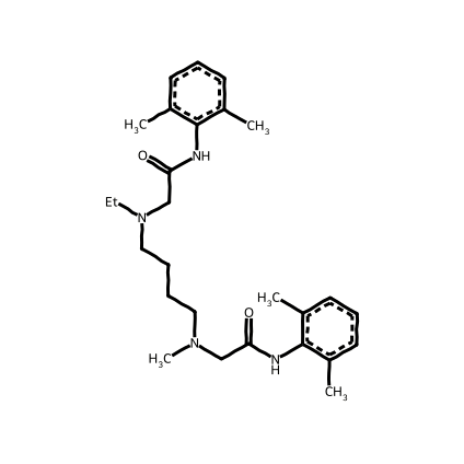 CCN(CCCCN(C)CC(=O)Nc1c(C)cccc1C)CC(=O)Nc1c(C)cccc1C